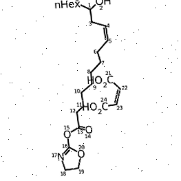 CCCCCCC(O)C/C=C\CCCCCCCC(=O)OC1=NCCO1.O=C(O)/C=C\C(=O)O